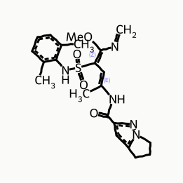 C=N/C(OC)=C(\C=C(/C)NC(=O)c1cc2n(n1)CCC2)S(=O)(=O)Nc1c(C)cccc1C